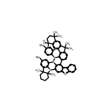 Cc1cc(C(C)(C)C)ccc1N1B2c3cc(C(C)(C)C)cc4c3N(c3cc5oc6ccccc6c5c(c32)-c2ccc3c(c21)-c1cc2c(cc1C3(C)C)C(C)(C)CCC2(C)C)C1(C)CCCCC41C